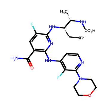 CC(C)C[C@H](Nc1nc(Nc2ccnc(N3CCOCC3)c2F)c(C(N)=O)cc1F)[C@H](C)NC(=O)O